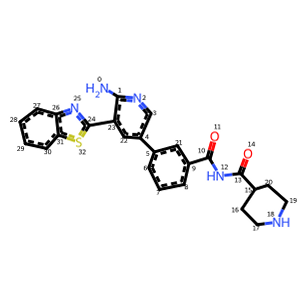 Nc1ncc(-c2cccc(C(=O)NC(=O)C3CCNCC3)c2)cc1-c1nc2ccccc2s1